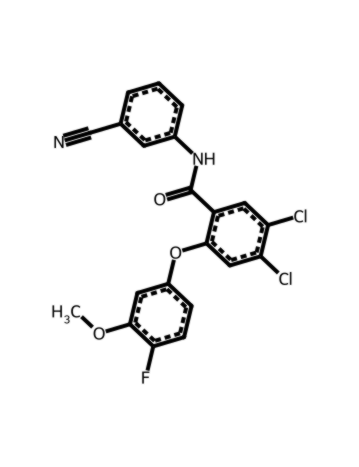 COc1cc(Oc2cc(Cl)c(Cl)cc2C(=O)Nc2cccc(C#N)c2)ccc1F